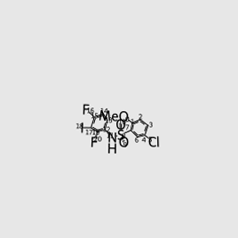 COc1ccc(Cl)cc1S(=O)(=O)Nc1ccc(F)c(I)c1F